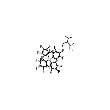 CCC([NH2+]C)C(C)C.Fc1c(F)c(F)c([B-](c2c(F)c(F)c(F)c(F)c2F)(c2c(F)c(F)c(F)c(F)c2F)c2c(F)c(F)c(F)c(F)c2F)c(F)c1F